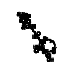 C/C1=C\CC[C@H](C)OC(=O)C[C@H](c2ccc(O)cc2)NC(=O)[C@@H](Cc2c[nH]c3ccccc23)N(C)C(=O)[C@H](CCCCNC(=O)CCCCCNC(=O)c2ccc3c(c2)C2(c4ccc(N(C)C)cc4Oc4cc(N(C)C)ccc42)N(S(=O)(=O)N(C)C)C3=O)NC(=O)[C@@H](C)C1